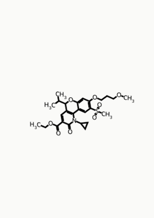 CCOC(=O)c1cc2c(n(C3CC3)c1=O)-c1cc(S(C)(=O)=O)c(OCCCOC)cc1OC2C(C)C